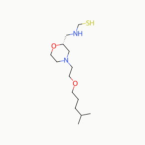 CC(C)CCCOCCN1CCO[C@H](CNCS)C1